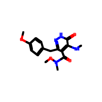 CNc1c(C(=O)N(C)OC)c(Cc2ccc(OC)cc2)n[nH]c1=O